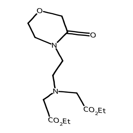 CCOC(=O)CN(CCN1CCOCC1=O)CC(=O)OCC